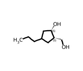 CCCC1C[C@@H](CO)[C@@H](O)C1